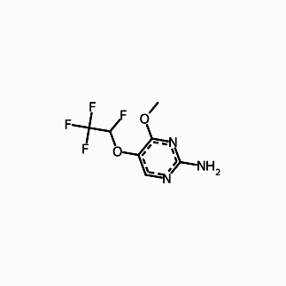 COc1nc(N)ncc1OC(F)C(F)(F)F